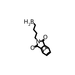 BCCCCN1C(=O)C2C3C=CC(O3)C2C1=O